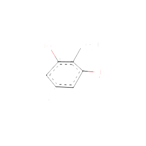 Cl.O=C(O)c1c(O)cccc1O